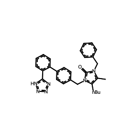 CCCCc1c(C)n(Cc2ccccc2)c(=O)n1Cc1ccc(-c2ccccc2-c2nnn[nH]2)cc1